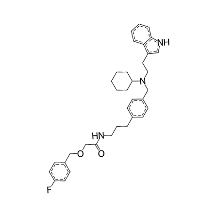 O=C(COCc1ccc(F)cc1)NCCCc1ccc(CN(CCc2c[nH]c3ccccc23)C2CCCCC2)cc1